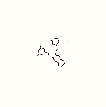 CC(=O)[O-].CC(=O)[O-].CCCCc1cc(C=Nc2cc3ccccc3cc2N=Cc2cc(CCCC)cc(CCCC)c2O)c(O)c(CCCC)c1.[Co+2]